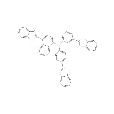 c1cc(-c2nc3ccccc3s2)cc(N(c2ccc(-c3nc4ccccc4o3)cc2)c2ccc(-c3nc4ccccc4s3)c3ccccc23)c1